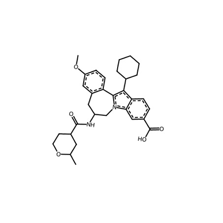 COc1ccc2c(c1)CC(NC(=O)C1CCOC(C)C1)Cn1c-2c(C2CCCCC2)c2ccc(C(=O)O)cc21